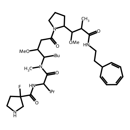 CCC(C)C(C(CC(=O)N1CCCC1C(OC)C(C)C(=O)NCCC1C=CC=CC=C1)OC)N(C)C(=O)C(NC(=O)C1(F)CCNC1)C(C)C